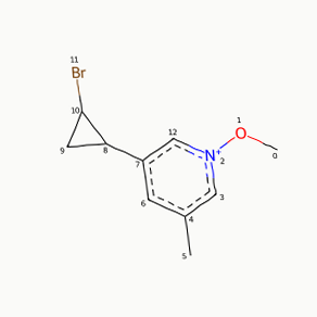 CO[n+]1cc(C)cc(C2CC2Br)c1